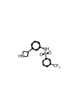 O=S(=O)(Nc1cccc(C2CNC2)c1)c1cccc(C(F)(F)F)c1